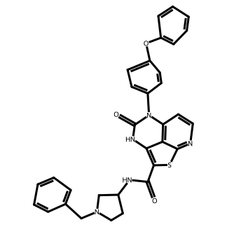 O=C(NC1CCN(Cc2ccccc2)C1)c1sc2nccc3c2c1NC(=O)N3c1ccc(Oc2ccccc2)cc1